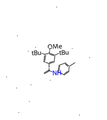 C=C(Nc1ccc(C)cc1)c1cc(C(C)(C)C)c(OC)c(C(C)(C)C)c1